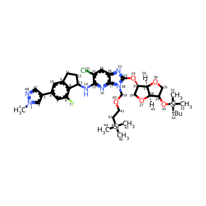 Cn1cc(-c2cc(F)c3c(c2)CCC3Nc2nc3c(cc2Cl)nc(O[C@@H]2CO[C@@H]4C(O[Si](C)(C)C(C)(C)C)CO[C@@H]42)n3COCC[Si](C)(C)C)cn1